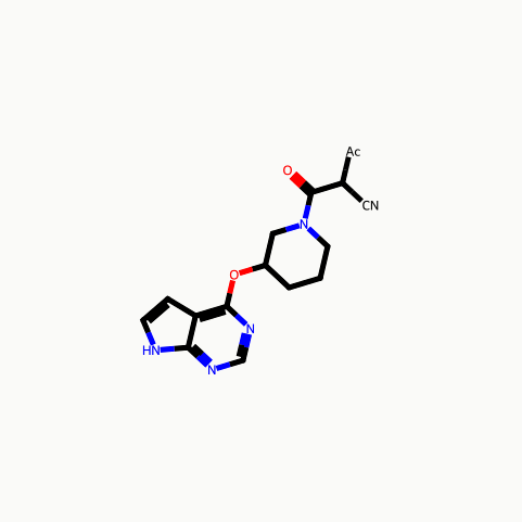 CC(=O)C(C#N)C(=O)N1CCCC(Oc2ncnc3[nH]ccc23)C1